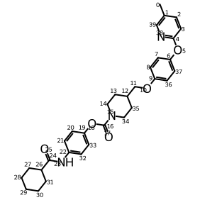 Cc1ccc(Oc2ccc(OCC3CCN(C(=O)Oc4ccc(NC(=O)C5CCCCC5)cc4)CC3)cc2)nc1